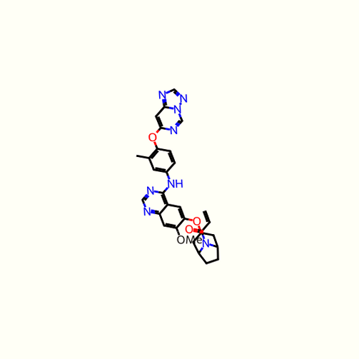 C=CC(=O)N1C2CCC1CC(Oc1cc3c(Nc4ccc(Oc5cc6ncnn6cn5)c(C)c4)ncnc3cc1OC)C2